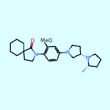 COc1cc(N2CC[C@H](N3CCC[C@@H]3C)C2)ccc1N1CCC2(CCCCC2)C1=O